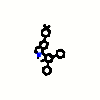 Cc1c(-c2c3ccc(C4CCC(C)(C)CC4)cc3cc[n+]2C)cc(C2CCCCC2)cc1C1CCCCC1